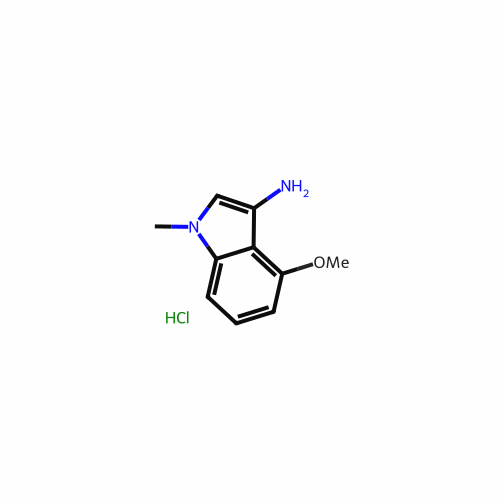 COc1cccc2c1c(N)cn2C.Cl